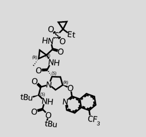 CCC1(S(=O)(=O)NC(=O)[C@@]2(NC(=O)[C@@H]3C[C@@H](Oc4nccc5c(C(F)(F)F)cccc45)CN3C(=O)[C@@H](NC(=O)OC(C)(C)C)C(C)(C)C)C[C@H]2C)CC1